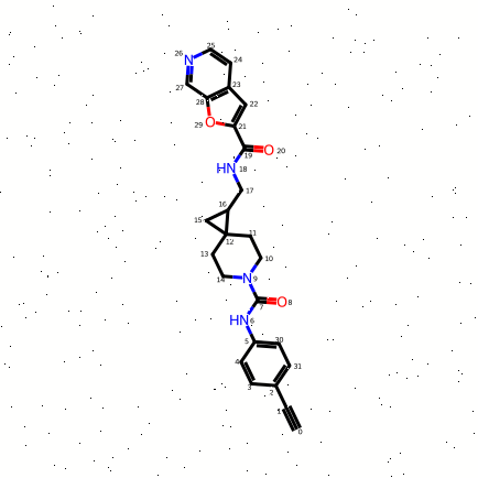 C#Cc1ccc(NC(=O)N2CCC3(CC2)CC3CNC(=O)c2cc3ccncc3o2)cc1